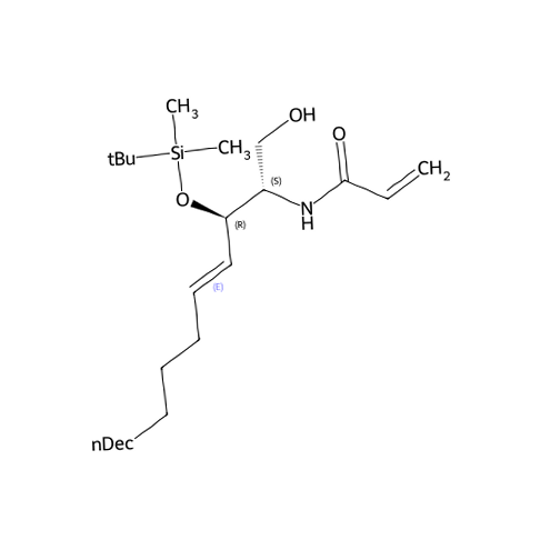 C=CC(=O)N[C@@H](CO)[C@@H](/C=C/CCCCCCCCCCCCC)O[Si](C)(C)C(C)(C)C